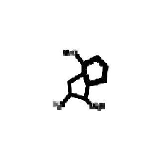 COc1cccc2c1CC(N)C2C(=O)O